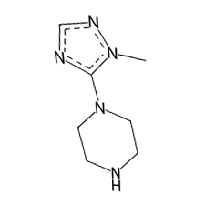 Cn1ncnc1N1CCNCC1